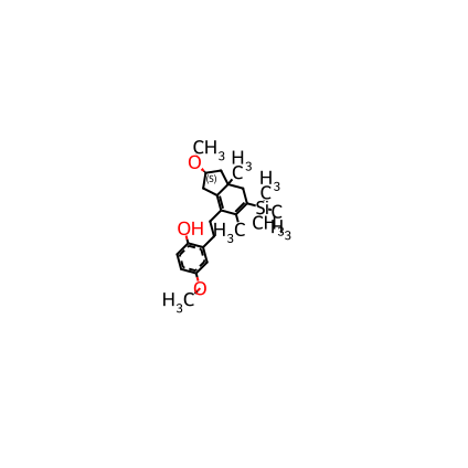 COc1ccc(O)c(CCC2=C3C[C@@H](OC)CC3(C)CC([Si](C)(C)C)=C2C)c1